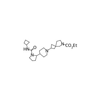 CCOC(=O)N1CCC2(CC(N3CCC(C4CCCN4C(=O)NC4CCC4)CC3)C2)C1